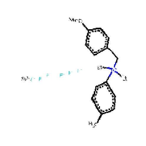 CC[N+](CC)(Cc1ccc(OC)cc1)c1ccc(C)cc1.[F-].[F-].[F-].[F-].[F-].[F-].[Sb+3]